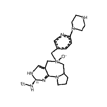 CCN[C@@H]1N=C2C(=CN1)C[N+]([O-])(Cc1ccc(N3CCNCC3)nc1)CC1CCCN21